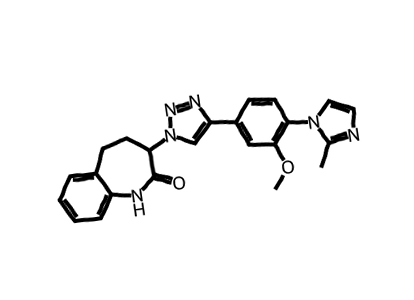 COc1cc(-c2cn(C3CCc4ccccc4NC3=O)nn2)ccc1-n1ccnc1C